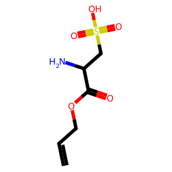 C=CCOC(=O)C(N)CS(=O)(=O)O